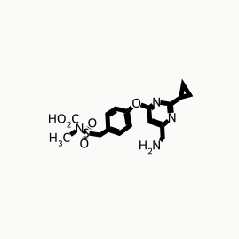 CN(C(=O)O)S(=O)(=O)Cc1ccc(Oc2cc(CN)nc(C3CC3)n2)cc1